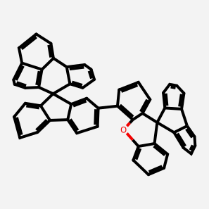 c1ccc2c(c1)Oc1c(-c3ccc4c(c3)C3(c5ccccc5-4)c4ccccc4-c4cccc5cccc3c45)cccc1C21c2ccccc2-c2ccccc21